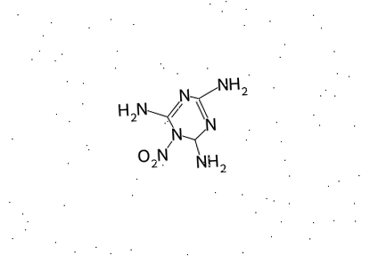 NC1=NC(N)N([N+](=O)[O-])C(N)=N1